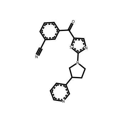 N#Cc1cccc(C(=O)c2cnc(N3CCC(c4cccnc4)C3)s2)c1